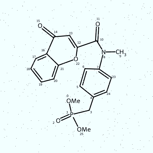 COP(=O)(Cc1ccc(N(C)C(=O)c2cc(=O)c3ccccc3o2)cc1)OC